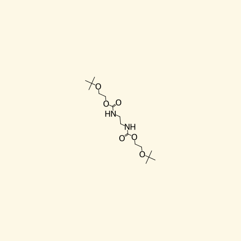 CC(C)(C)OCCOC(=O)NCCNC(=O)OCCOC(C)(C)C